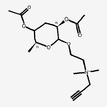 C#CC[N+](C)(C)CCOC1O[C@@H](C)C(OC(C)=O)C[C@H]1OC(C)=O